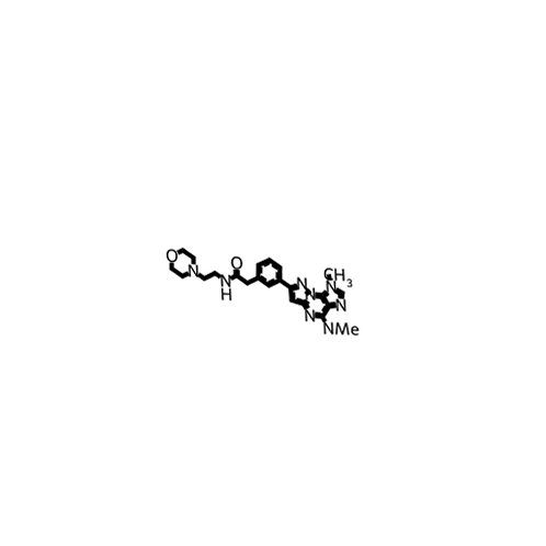 CNc1nc2cc(-c3cccc(CC(=O)NCCN4CCOCC4)c3)nn2c2c1ncn2C